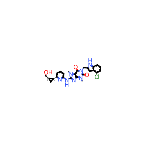 Cn1c(Nc2cccc([C@@H]3C[C@H]3CO)n2)nc2c1c(=O)n(Cc1cc3c(Cl)cccc3[nH]1)c(=O)n2C